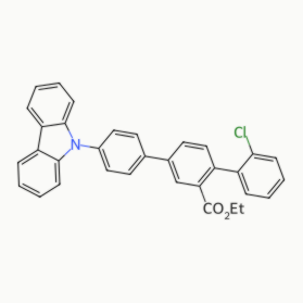 CCOC(=O)c1cc(-c2ccc(-n3c4ccccc4c4ccccc43)cc2)ccc1-c1ccccc1Cl